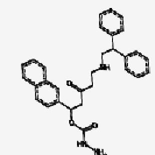 NNC(=O)OC(CC(=O)CCNCC(c1ccccc1)c1ccccc1)c1ccc2ccccc2c1